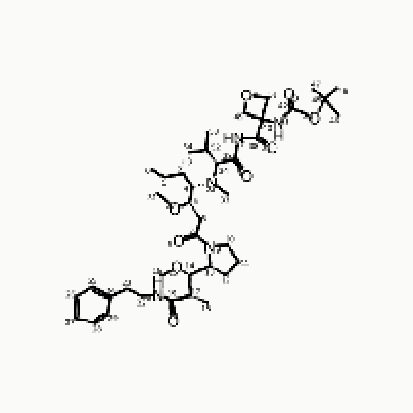 CC[C@H](C)[C@@H]([C@@H](CC(=O)N1CCC[C@H]1[C@H](OC)[C@@H](C)C(=O)NCCc1ccccc1)OC)N(C)[C@H](C(=O)NC(=O)C1(NC(=O)OC(C)(C)C)COC1)C(C)C